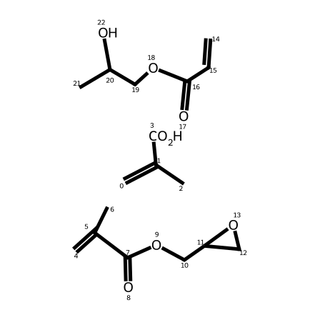 C=C(C)C(=O)O.C=C(C)C(=O)OCC1CO1.C=CC(=O)OCC(C)O